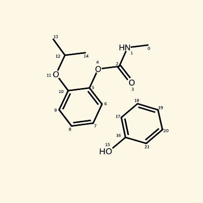 CNC(=O)Oc1ccccc1OC(C)C.Oc1ccccc1